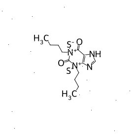 CCCC[N+]1([S-])C(=O)c2[nH]cnc2[N+]([S-])(CCCC)C1=O